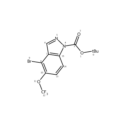 CC(C)(C)OC(=O)n1ncc2c(Br)c(OC(F)(F)F)ccc21